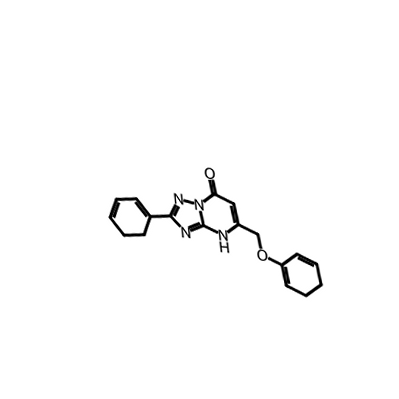 O=c1cc(COC2=CCCC=C2)[nH]c2nc(C3=CC=CCC3)nn12